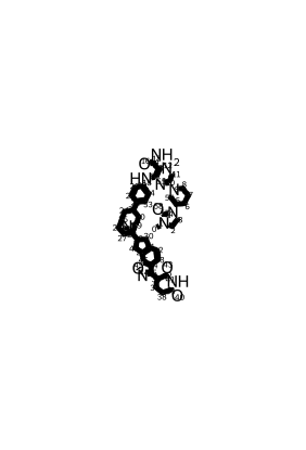 CN1CCN([C@@H]2CCCN(c3cnc(C(N)=O)c(Nc4ccc(C5CC6CCC(C7Cc8ccc9c(C%10CCC(=O)NC%10=O)noc9c8C7)C(C5)N6C)cc4)n3)C2)C1=O